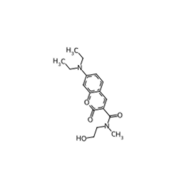 CCN(CC)c1ccc2cc(C(=O)N(C)CCO)c(=O)oc2c1